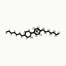 CCCCCCCC1CCC(C23CCC(CCCCCCC)(CC2)CC3)CC1